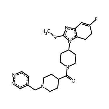 CSc1nc2c(n1C1CCN(C(=O)C3CCN(Cc4ccnnc4)CC3)CC1)CCC(F)=C2